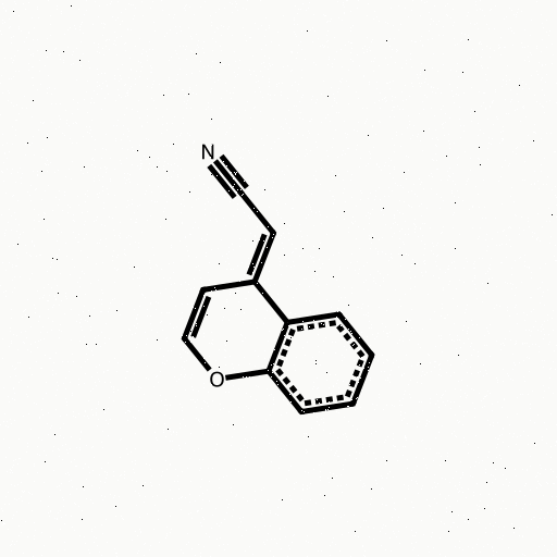 N#CC=C1C=COc2ccccc21